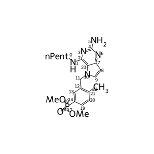 CCCCCNc1nc(N)nc2ccn(Cc3cc(P(=O)(OC)OC)ccc3C)c12